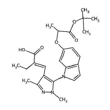 CC/C(=C\c1c(C)nn(C)c1-n1ccc2ccc(OC(C)C(=O)OC(C)(C)C)cc21)C(=O)O